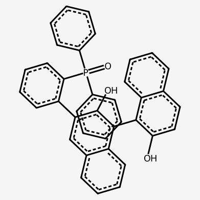 O=P(c1ccccc1)(c1ccccc1)c1ccccc1-c1cc2ccccc2c(-c2c(O)ccc3ccccc23)c1O